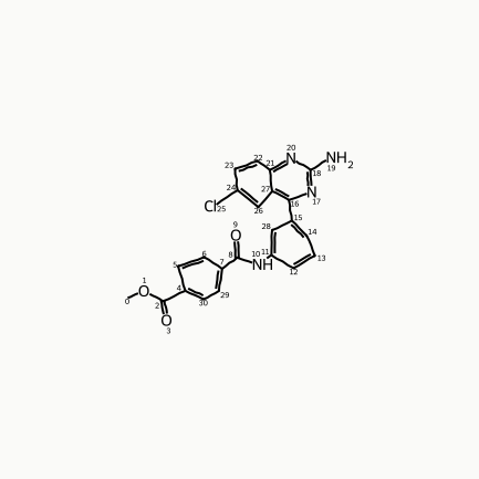 COC(=O)c1ccc(C(=O)Nc2cccc(-c3nc(N)nc4ccc(Cl)cc34)c2)cc1